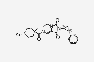 CC(=O)N1CCC(C)(C(=O)N2C=C3C(=O)N([C@H]4C[C@@H]4c4ccccc4)C(=O)N3CC2)CC1